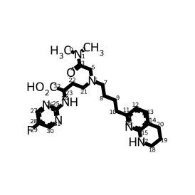 CN(C)C(=O)CN(CCCCc1ccc2c(n1)NCCC2)CCC(Nc1ncc(F)cn1)C(=O)O